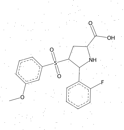 COc1cccc(S(=O)(=O)C2CC(C(=O)O)NC2c2ccccc2F)c1